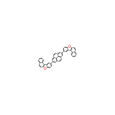 c1ccc2c(c1)ccc1oc3ccc(-c4cc5ccc6cc(-c7ccc8oc9ccc%10ccccc%10c9c8c7)cc7ccc(c4)c5c67)cc3c12